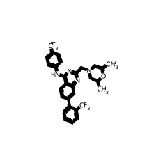 CC1CN(Cc2nc(Nc3ccc(C(F)(F)F)cc3)c3ccc(-c4ccccc4C(F)(F)F)cc3n2)CC(C)O1